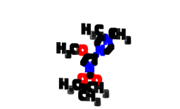 COC1CN(C(=O)OC(C)(C)C)CC1N1CCN(C)[C@@H](C)C1